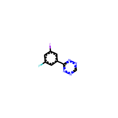 Fc1cc(I)cc(-c2nncnn2)c1